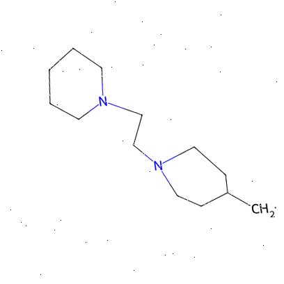 [CH2]C1CCN(CCN2CCCCC2)CC1